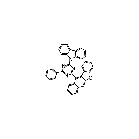 c1ccc(-c2nc(-c3c4ccccc4cc4oc5ccccc5c34)nc(-n3c4ccccc4c4ccccc43)n2)cc1